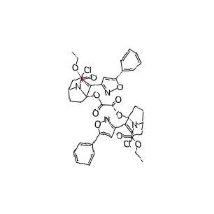 CCOC(=O)N1C2CCC1(OC(=O)C(=O)OC13CCC(CC(Cl)=C1c1cc(-c4ccccc4)on1)N3C(=O)OCC)C(c1cc(-c3ccccc3)on1)=C(Cl)C2